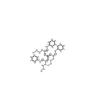 CCCCC(OCc1ccccc1)OB(OC(CCCC)OCc1ccccc1)OC(CCCC)OCc1ccccc1